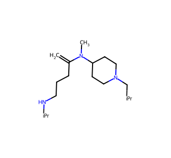 C=C(CCCNC(C)C)N(C)C1CCN(CC(C)C)CC1